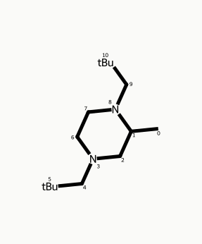 CC1CN(CC(C)(C)C)CCN1CC(C)(C)C